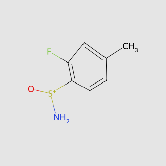 Cc1ccc([S+](N)[O-])c(F)c1